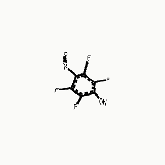 O=Nc1c(F)c(F)c(O)c(F)c1F